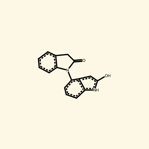 O=C1Cc2[c]cccc2N1c1cccc2[nH]c(O)cc12